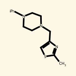 Cc1nc(CN2CCN(C(C)C)CC2)cs1